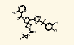 O=C(c1nccnc1O)N1CC(c2nnc(C(F)(F)c3ccc(Cl)c(Cl)c3)o2)C2(C1)CN(C(=O)[C@H]1CC1(F)F)C2